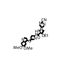 CCOc1cn(-c2cnc(C#N)nc2)nc1C(=O)Nc1ccc(Oc2ccnc3c2C=C(OC)C(OC)C3)cn1